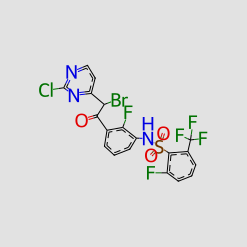 O=C(c1cccc(NS(=O)(=O)c2c(F)cccc2C(F)(F)F)c1F)C(Br)c1ccnc(Cl)n1